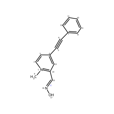 C[n+]1ccc(C#Cc2ccccc2)cc1/C=N/O